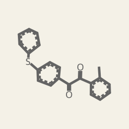 Cc1ccccc1C(=O)C(=O)c1ccc(Sc2ccccc2)cc1